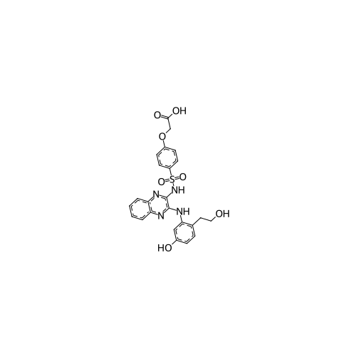 O=C(O)COc1ccc(S(=O)(=O)Nc2nc3ccccc3nc2Nc2cc(O)ccc2CCO)cc1